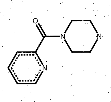 O=C(c1ccccn1)N1CC[N]CC1